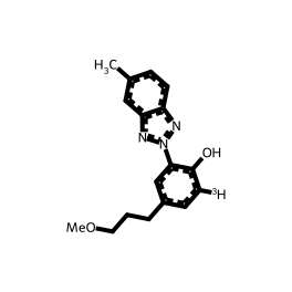 [3H]c1cc(CCCOC)cc(-n2nc3ccc(C)cc3n2)c1O